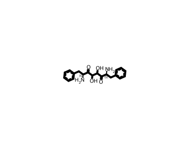 N[C@@H](Cc1ccccc1)C(=O)C(O)C(O)C(=O)[C@@H](N)Cc1ccccc1